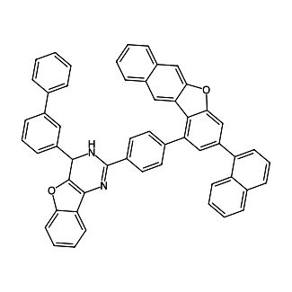 c1ccc(-c2cccc(C3NC(c4ccc(-c5cc(-c6cccc7ccccc67)cc6oc7cc8ccccc8cc7c56)cc4)=Nc4c3oc3ccccc43)c2)cc1